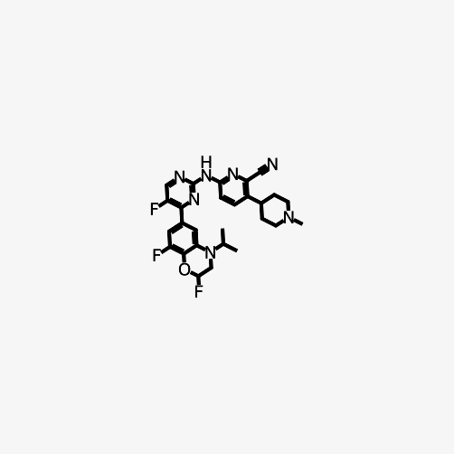 CC(C)N1CC(F)Oc2c(F)cc(-c3nc(Nc4ccc(C5CCN(C)CC5)c(C#N)n4)ncc3F)cc21